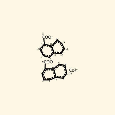 O=C([O-])c1cccc2ccccc12.O=C([O-])c1cccc2ccccc12.[Co+2]